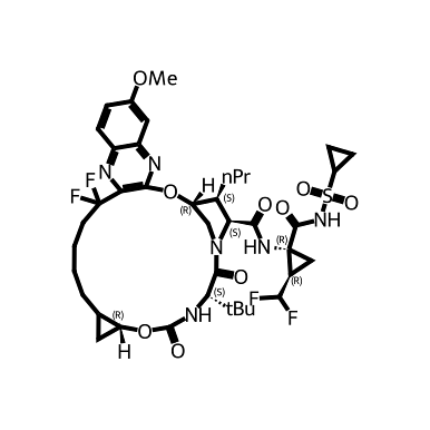 CCC[C@@H]1[C@@H]2CN(C(=O)[C@H](C(C)(C)C)NC(=O)O[C@@H]3CC3CCCCC(F)(F)c3nc4ccc(OC)cc4nc3O2)[C@@H]1C(=O)N[C@]1(C(=O)NS(=O)(=O)C2CC2)C[C@H]1C(F)F